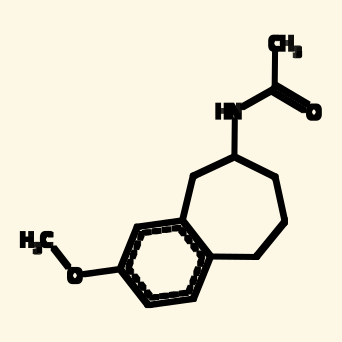 COc1ccc2c(c1)CC(NC(C)=O)CCC2